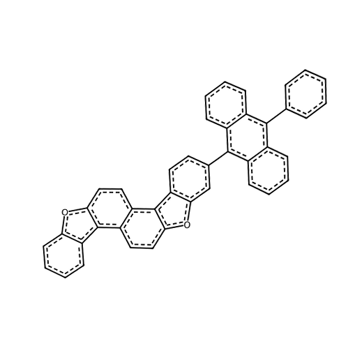 c1ccc(-c2c3ccccc3c(-c3ccc4c(c3)oc3ccc5c(ccc6oc7ccccc7c65)c34)c3ccccc23)cc1